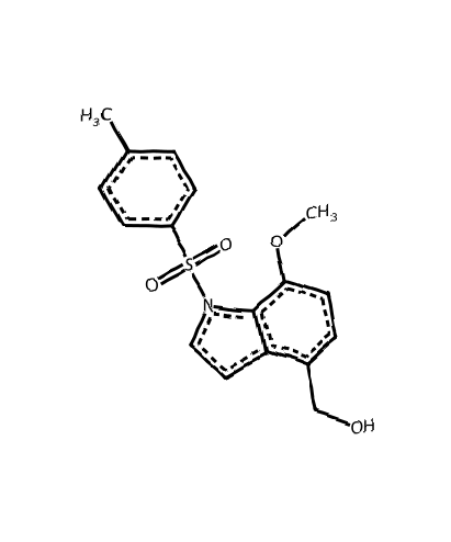 COc1ccc(CO)c2ccn(S(=O)(=O)c3ccc(C)cc3)c12